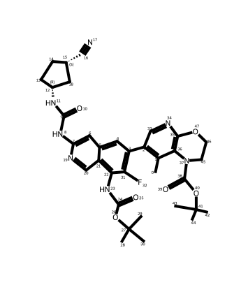 Cc1c(-c2cc3cc(NC(=O)N[C@@H]4CC[C@H](C#N)C4)ncc3c(NC(=O)OC(C)(C)C)c2F)cnc2c1N(C(=O)OC(C)(C)C)CCO2